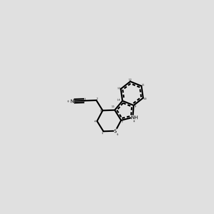 N#CCC1CCSc2[nH]c3ccccc3c21